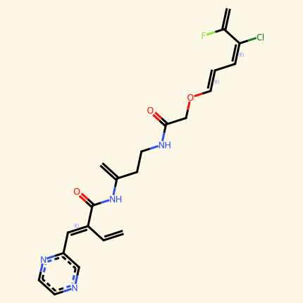 C=C/C(=C\c1cnccn1)C(=O)NC(=C)CCNC(=O)CO/C=C/C=C(/Cl)C(=C)F